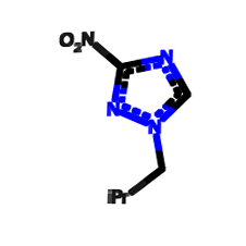 CC(C)Cn1cnc([N+](=O)[O-])n1